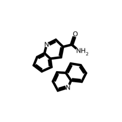 NC(=O)c1cnc2ccccc2c1.c1ccc2ncccc2c1